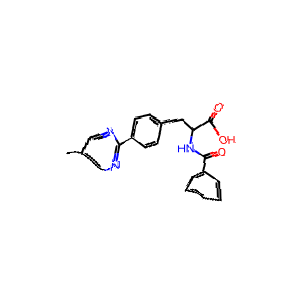 Cc1cnc(-c2ccc(CC(NC(=O)c3ccccc3)C(=O)O)cc2)nc1